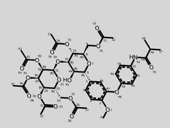 COc1ccc([C@H]2O[C@H](COC(C)=O)[C@@H](OC(C)=O)[C@H](O[C@H]3O[C@H](COC(C)=O)[C@@H](OC(C)=O)[C@@H](OC(C)=O)[C@H]3OC(C)=O)[C@@H]2O)cc1Oc1ccc(NC(=O)C(C)C)cc1